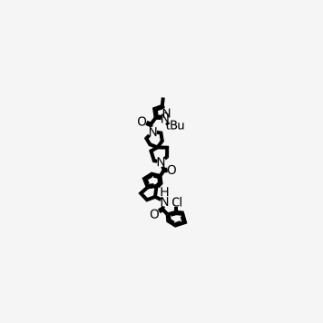 Cc1cc(C(=O)N2CCC3(CCN(C(=O)c4ccc5c(c4)C(NC(=O)c4ccccc4Cl)CC5)CC3)CC2)n(C(C)(C)C)n1